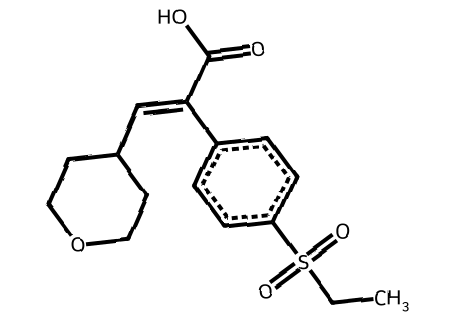 CCS(=O)(=O)c1ccc(/C(=C\C2CCOCC2)C(=O)O)cc1